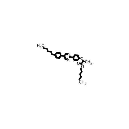 CCCCCCOC(=O)C(C)Oc1ccc(-c2ncc(-c3ccc(CCCCCC)cc3)cn2)cc1